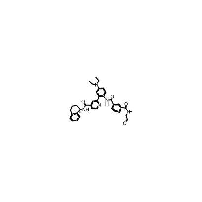 CCN(CC)c1ccc(NC(=O)c2cccc(C(=O)N(C)CC=O)c2)c(-c2cc(C(=O)N[C@H]3CCCc4ccccc43)ccn2)c1